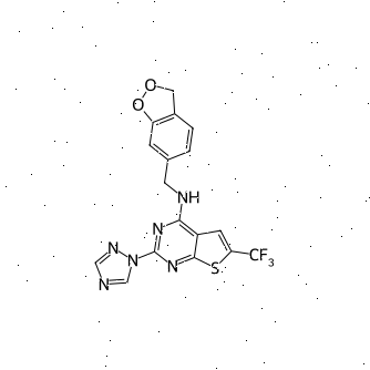 FC(F)(F)c1cc2c(NCc3ccc4c(c3)OOC4)nc(-n3cncn3)nc2s1